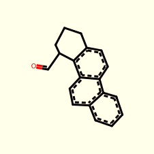 O=CC1CCCc2ccc3c(ccc4ccccc43)c21